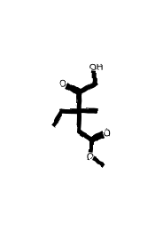 CCC(C)(CC(=O)OC)C(=O)CO